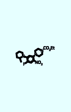 CCOC(=O)N1CCN(c2cc(N3CCCCC3C)c(F)cc2[N+](=O)[O-])CC1